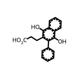 O=C(O)CCc1c(-c2ccccc2)c(O)c2ccccc2c1O